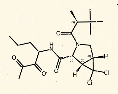 CCCC(NC(=O)[C@@H]1[C@@H]2[C@H](CN1C(=O)[C@@H](C)C(C)(C)C)C2(Cl)Cl)C(=O)C(C)=O